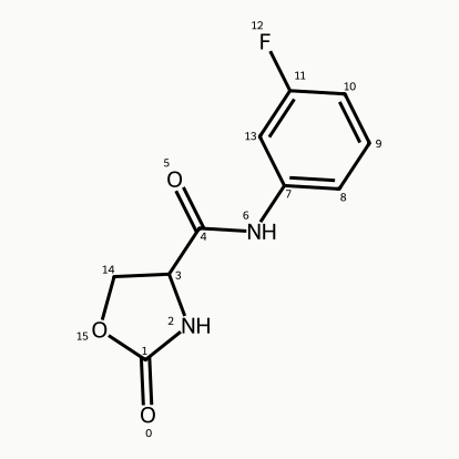 O=C1NC(C(=O)Nc2cccc(F)c2)CO1